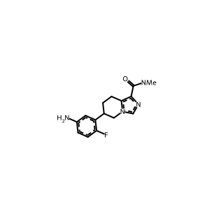 CNC(=O)c1ncn2c1CCC(c1cc(N)ccc1F)C2